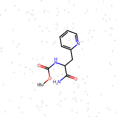 CC(C)(C)OC(=O)NC(Cc1ccccn1)C(N)=O